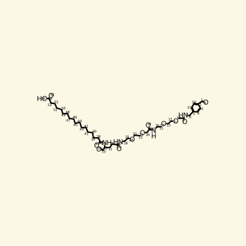 O=Cc1ccc(CNC(=O)COCCOCCNC(=O)COCCOCCNC(=O)CCC(C=O)NC(=O)CCCCCCCCCCCCCCCCC(=O)O)cc1